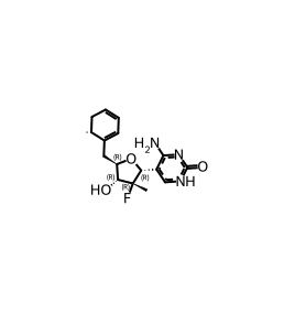 C[C@]1(F)[C@@H](c2c[nH]c(=O)nc2N)O[C@H](CC2=CC=CC[CH]2)[C@H]1O